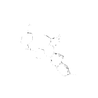 Cc1ccc2nc(N3CCC(NC4CCC(O)CC4)CC3)c(-c3nc(C)no3)cc2c1